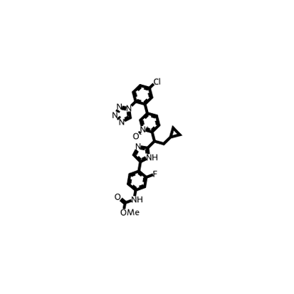 COC(=O)Nc1ccc(-c2cnc(C(CC3CC3)c3ccc(-c4cc(Cl)ccc4-n4cnnn4)c[n+]3[O-])[nH]2)c(F)c1